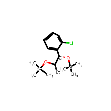 CCC(O[Si](C)(C)C)[C@@H](O[Si](C)(C)C)c1ccccc1Cl